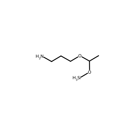 CC(O[SiH3])OCCCN